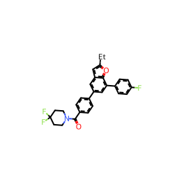 CCc1cc2cc(-c3ccc(C(=O)N4CCC(F)(F)CC4)cc3)cc(-c3ccc(F)cc3)c2o1